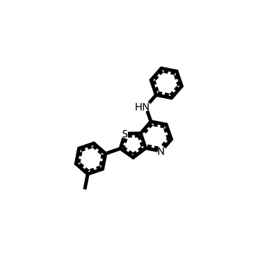 Cc1cccc(-c2cc3nccc(Nc4ccccc4)c3s2)c1